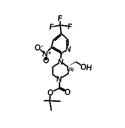 CC(C)(C)OC(=O)N1CCN(c2ncc(C(F)(F)F)cc2[N+](=O)[O-])[C@H](CO)C1